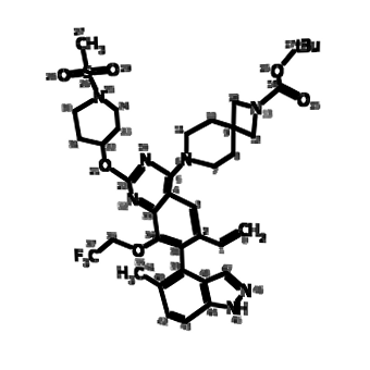 C=Cc1cc2c(N3CCC4(CC3)CN(C(=O)OC(C)(C)C)C4)nc(OC3CCN(S(C)(=O)=O)CC3)nc2c(OCC(F)(F)F)c1-c1c(C)ccc2[nH]ncc12